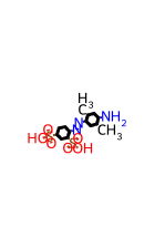 Cc1cc(N=Nc2ccc(S(=O)(=O)O)cc2S(=O)(=O)O)c(C)cc1N